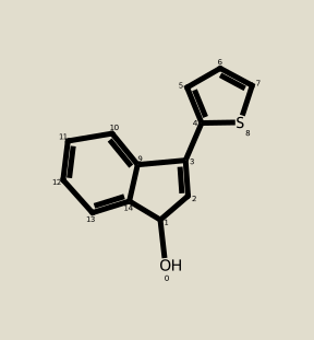 OC1C=C(c2cccs2)c2ccccc21